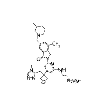 CC1CCCN(Cc2cc3c(c(C(F)(F)F)c2)CN(c2cc(C4(Cc5nncn5C)COC4)cc(NCCN=[N+]=[N-])n2)C3=O)C1